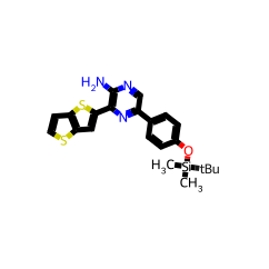 CC(C)(C)[Si](C)(C)Oc1ccc(-c2cnc(N)c(-c3cc4sccc4s3)n2)cc1